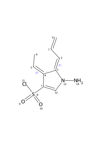 C=C/C=c1\c(=C/C)c(S(=O)(=O)Cl)cn1N